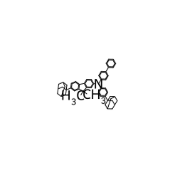 CC1(C)c2cc(N(c3ccc(-c4ccccc4)cc3)c3ccc(C45CC6CC(CC(C6)C4)C5)cc3)ccc2-c2ccc(C34CC5CC(CC(C5)C3)C4)cc21